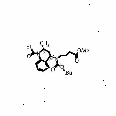 CCC(=O)N1c2ccccc2[C@H](N(CCCC(=O)OC)C(=O)OC(C)(C)C)C[C@@H]1C